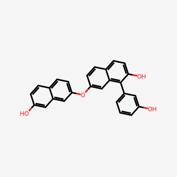 Oc1cccc(-c2c(O)ccc3ccc(Oc4ccc5ccc(O)cc5c4)cc23)c1